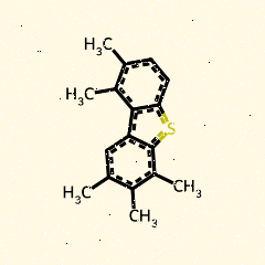 Cc1cc2c(sc3ccc(C)c(C)c32)c(C)c1C